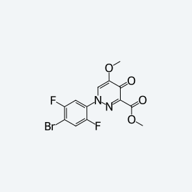 COC(=O)c1nn(-c2cc(F)c(Br)cc2F)cc(OC)c1=O